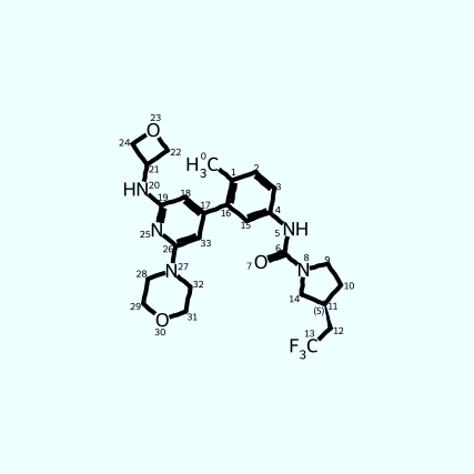 Cc1ccc(NC(=O)N2CC[C@@H](CC(F)(F)F)C2)cc1-c1cc(NC2COC2)nc(N2CCOCC2)c1